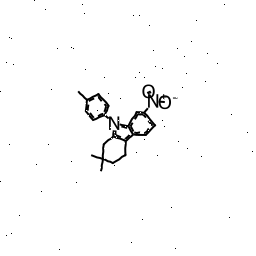 Cc1ccc(-n2c3c(c4ccc([N+](=O)[O-])cc42)CCC(C)(C)C3)cc1